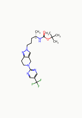 C[C@@H](CCCn1cc2c(n1)CCN(c1ncc(C(F)(F)F)cn1)C2)NC(=O)OC(C)(C)C